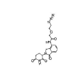 [N-]=[N+]=NCCOCC(=O)Nc1cccc2c1CN(C1CCC(=O)NC1=O)C2=O